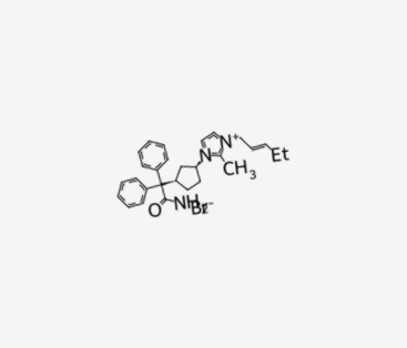 CC/C=C/C[n+]1ccn([C@H]2CC[C@@H](C(C(N)=O)(c3ccccc3)c3ccccc3)C2)c1C.[Br-]